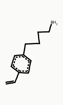 BCCCCc1ccc(C=C)cc1